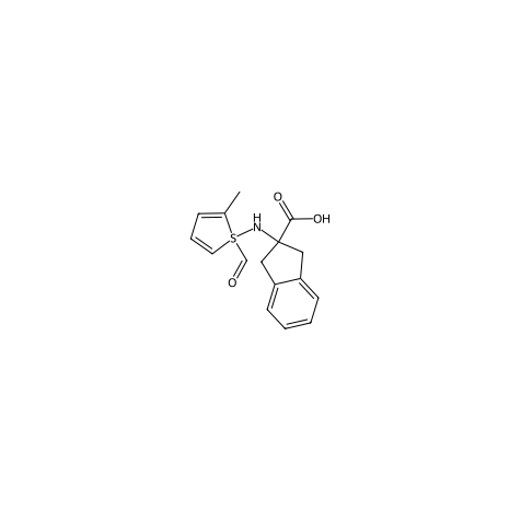 CC1=CC=CS1(C=O)NC1(C(=O)O)Cc2ccccc2C1